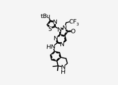 CC(C)(C)c1csc(-n2c3nc(Nc4ccc5c(c4)CCNC5(C)C)ncc3c(=O)n2CC(F)(F)F)n1